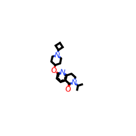 CC(C)N1CCc2nc(OC3CCN(C4CCC4)CC3)ccc2C1=O